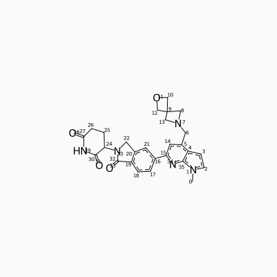 Cn1ccc2c(CN3CC4(COC4)C3)cc(-c3ccc4c(c3)CN(C3CCC(=O)NC3=O)C4=O)nc21